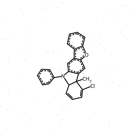 CC12C(Cl)=CC=CC1N(c1ccccc1)c1cc3c(cc12)oc1ccccc13